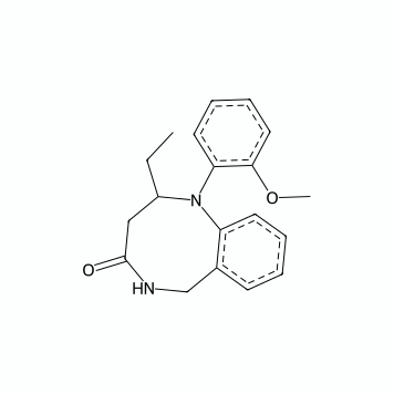 CCC1CC(=O)NCc2ccccc2N1c1ccccc1OC